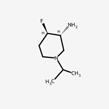 CC(C)N1CC[C@@H](F)[C@H](N)C1